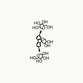 OC[C@H]1O[C@H](C#Cc2ccc3c(c2)C2(C[C@@H](O)[C@@H](O)CO2)c2cc(C#C[C@H]4O[C@H](CO)[C@@H](O)[C@H](O)[C@@H]4O)ccc2-3)[C@@H](O)[C@@H](O)[C@@H]1O